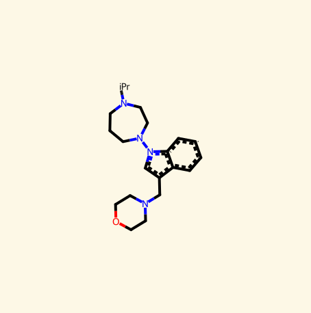 CC(C)N1CCCN(n2cc(CN3CCOCC3)c3cc[c]cc32)CC1